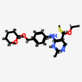 CCOC(=S)c1cnc(C)nc1Nc1ccc(COC2CCCCO2)cc1